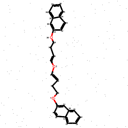 C(=COC=CCCOc1ccc2ccccc2c1)CCOc1ccc2ccccc2c1